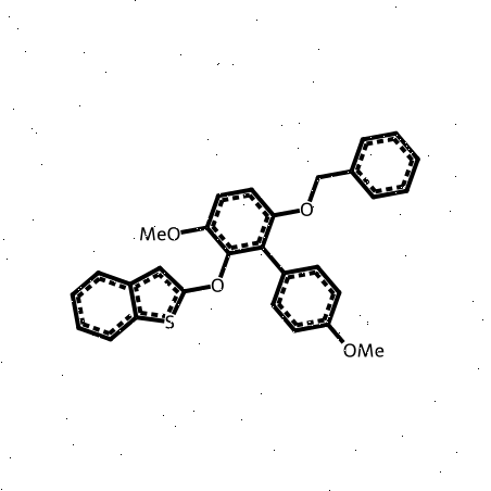 COc1ccc(-c2c(OCc3ccccc3)ccc(OC)c2Oc2cc3ccccc3s2)cc1